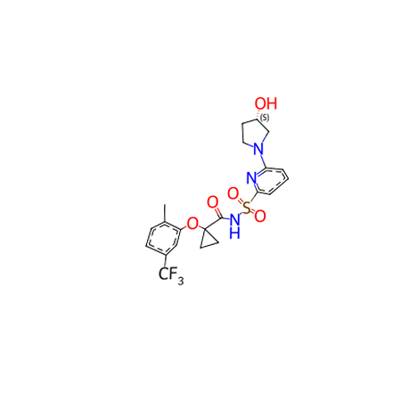 Cc1ccc(C(F)(F)F)cc1OC1(C(=O)NS(=O)(=O)c2cccc(N3CC[C@H](O)C3)n2)CC1